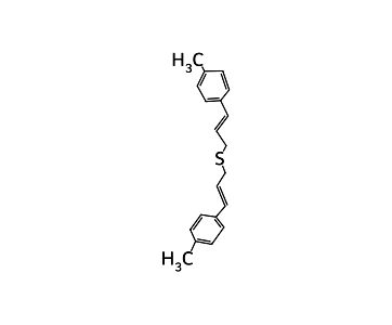 Cc1ccc(C=CCSCC=Cc2ccc(C)cc2)cc1